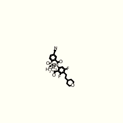 CC(=O)c1c(NC(=O)c2cc(C#N)ccc2S(C)(=O)=O)cc(F)c(CCC2CCOCC2)c1F